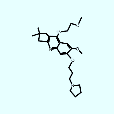 COCCNc1c2c(nc3cc(OCCCN4CCCC4)c(OC)cc13)CC(C)(C)C2